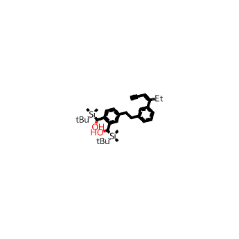 C#C/C=C(/CC)c1cccc(CCc2ccc(C(O)[Si](C)(C)C(C)(C)C)c(C(O)[Si](C)(C)C(C)(C)C)c2)c1